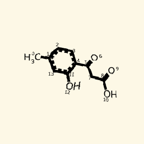 Cc1ccc(C(=O)CC(=O)O)c(O)c1